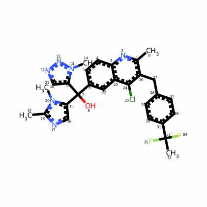 Cc1nc2ccc(C(O)(c3cnnn3C)c3cnc(C)n3C)cc2c(Cl)c1Cc1ccc(C(C)(F)F)cc1